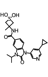 CC(C)n1c(=O)n(-c2cncc(C3CC3)c2)c2ccc(C(=O)NC3(C)CS(O)(O)C3)cc21